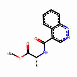 C[C@@H](NC(=O)c1cnnc2ccccc12)C(=O)OC(C)(C)C